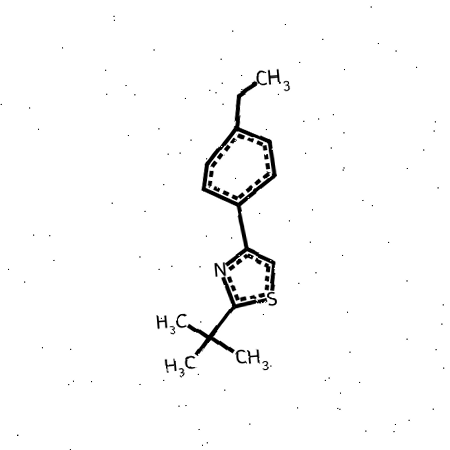 CCc1ccc(-c2csc(C(C)(C)C)n2)cc1